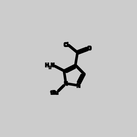 CC(C)(C)n1ncc(C(=O)Cl)c1N